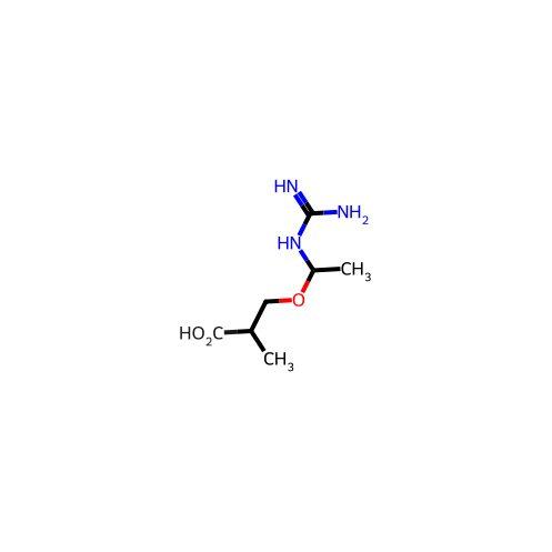 CC(NC(=N)N)OCC(C)C(=O)O